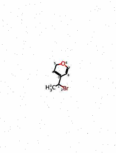 CC(Br)C1=CCOC=C1